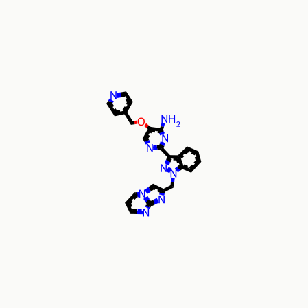 Nc1nc(-c2nn(Cc3cn4cccnc4n3)c3ccccc23)ncc1OCc1ccncc1